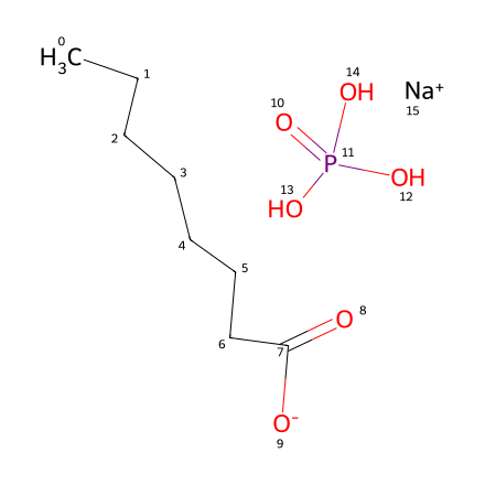 CCCCCCCC(=O)[O-].O=P(O)(O)O.[Na+]